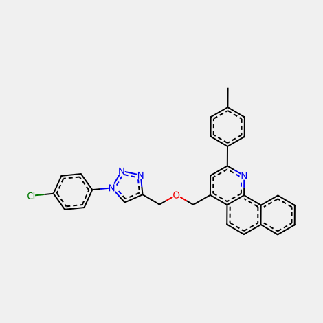 Cc1ccc(-c2cc(COCc3cn(-c4ccc(Cl)cc4)nn3)c3ccc4ccccc4c3n2)cc1